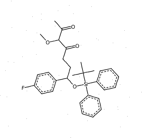 COC(C(C)=O)C(=O)CCC(O[Si](c1ccccc1)(c1ccccc1)C(C)(C)C)c1ccc(F)cc1